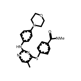 CNC(=O)c1ccc(Sc2nc(Nc3ccc(N4CCOCC4)cc3)ncc2C)cc1